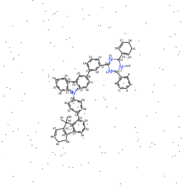 CN1C(c2ccccc2)=NC(c2cccc(-c3ccc4c(c3)c3ccccc3n4-c3ccc(-c4cccc5c4C(C)(C)C4=C5CCC=C4)cc3)c2)=NC1C1=CCCC=C1